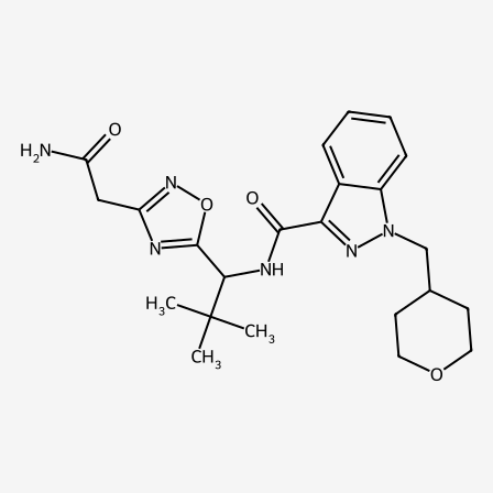 CC(C)(C)C(NC(=O)c1nn(CC2CCOCC2)c2ccccc12)c1nc(CC(N)=O)no1